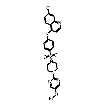 CCOc1cnc(N2CCN(S(=O)(=O)c3ccc(Nc4ccnc5cc(Cl)ccc45)cc3)CC2)nc1